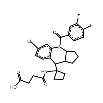 O=C(O)CCC(=O)NC1(C2c3ccc(Cl)cc3N(C(=O)c3ccc(F)c(F)c3)C3CCCC32)CCC1